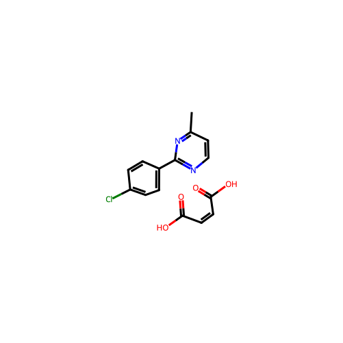 Cc1ccnc(-c2ccc(Cl)cc2)n1.O=C(O)/C=C\C(=O)O